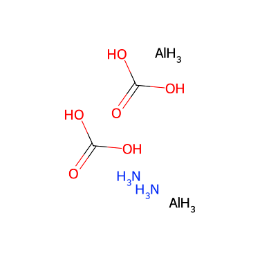 N.N.O=C(O)O.O=C(O)O.[AlH3].[AlH3]